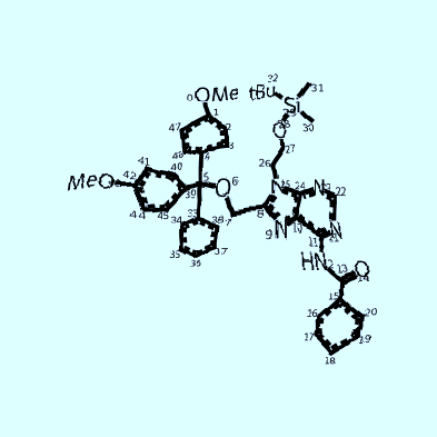 COc1ccc(C(OCc2nc3c(NC(=O)c4ccccc4)ncnc3n2CCO[Si](C)(C)C(C)(C)C)(c2ccccc2)c2ccc(OC)cc2)cc1